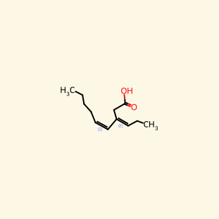 CC/C=C(/C=C\CCCC)CC(=O)O